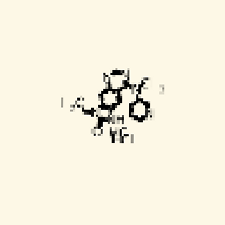 CCn1c(=O)[nH]c2cc3c(N(C)c4cccnc4)ncnc3cc21.Cl.Cl